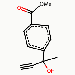 C#CC(C)(O)c1ccc(C(=O)OC)cc1